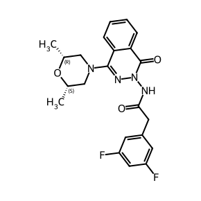 C[C@@H]1CN(c2nn(NC(=O)Cc3cc(F)cc(F)c3)c(=O)c3ccccc23)C[C@H](C)O1